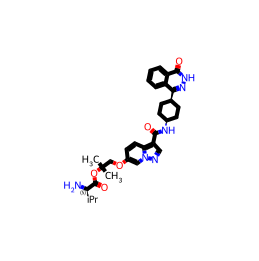 CC(C)[C@H](N)C(=O)OC(C)(C)COc1ccc2c(C(=O)N[C@H]3CC[C@H](c4n[nH]c(=O)c5ccccc54)CC3)cnn2c1